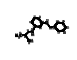 CC(O)CNc1cccc(OCc2ccccc2)c1